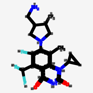 Cc1c(N2CC(CN)C(C(F)(F)F)C2)c(F)c(C(F)F)c2c(=O)[nH]c(=O)n(C3CC3)c12